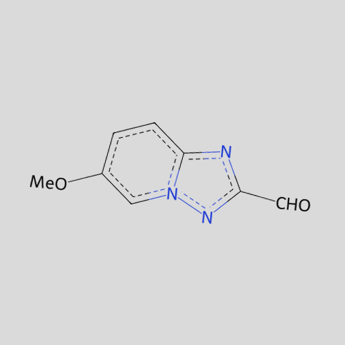 COc1ccc2nc(C=O)nn2c1